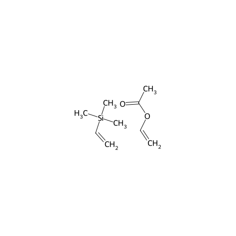 C=COC(C)=O.C=C[Si](C)(C)C